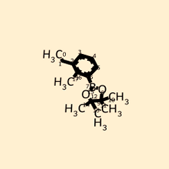 CCc1cccc(B2OC(C)(C)C(C)(C)O2)c1C